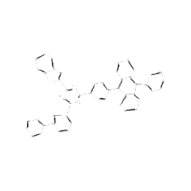 c1ccc(-c2cccc(-c3nc(-c4ccc(-c5c6ccccc6c(-c6ccccc6)c6ccccc56)cc4)nc(-c4cc5ccccc5o4)n3)c2)cc1